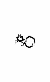 O=C1CCCCCCCCCN1c1cncc(F)c1